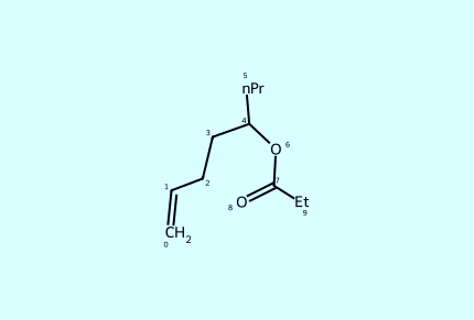 C=CCCC(CCC)OC(=O)CC